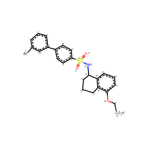 CC(C)c1cccc(-c2ccc(S(=O)(=O)NC3CCCc4c(OCC(=O)O)cccc43)cc2)c1